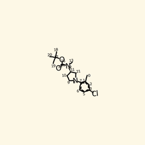 Cc1cc(Cl)ccc1N1CC[C@@H](N(C)C(=O)OC(C)(C)C)C1